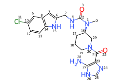 CN(C(=O)NCc1cc2cc(Cl)ccc2[nH]1)[C@@H]1CCCN(C(=O)c2nc[nH]c2N)C1